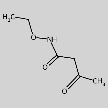 CCONC(=O)CC(C)=O